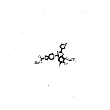 CN1CCC(c2nc(N3CCC4(CC3)CN(C(=O)OC(C)(C)C)C4)c3cc(I)c(Br)c(OCC(F)(F)F)c3n2)C1